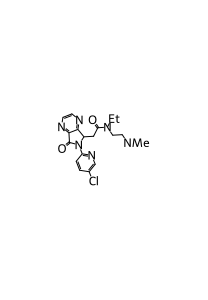 CCN(CCNC)C(=O)CC1c2nccnc2C(=O)N1c1ccc(Cl)cn1